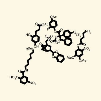 CC(=O)OC(=O)CCc1ccc(O)cc1O.CC(=O)Oc1ccc(OC(=O)C(OC(=O)OS(=O)(=O)CC23CC(C4Oc5ccccc5O4)C(CC2=O)C3(C)C)(C(=O)c2ccccc2)c2ccc(OC(F)(F)F)cc2)c(F)c1.CCCCCCCCCCCCCCCCNC(=O)c1cc([N+](=O)[O-])ccc1C(=O)O.COc1cc(OC(=O)CCCN)c([N+](=O)[O-])cc1OC